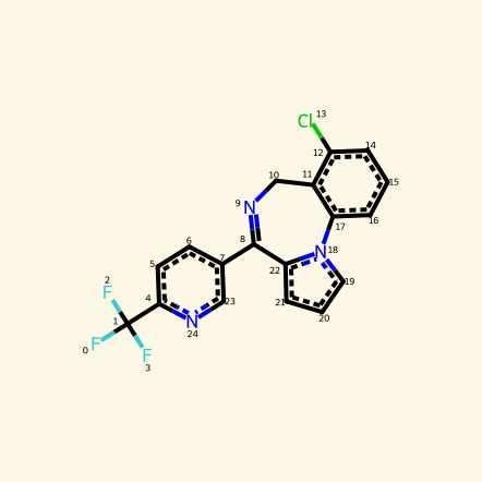 FC(F)(F)c1ccc(C2=NCc3c(Cl)cccc3-n3cccc32)cn1